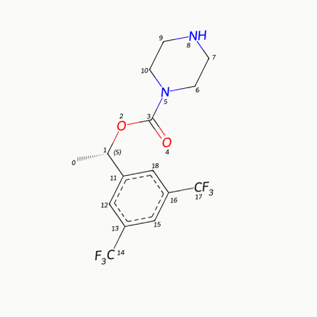 C[C@H](OC(=O)N1CCNCC1)c1cc(C(F)(F)F)cc(C(F)(F)F)c1